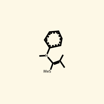 CSC(=C(C)C)N(C)c1ccccc1